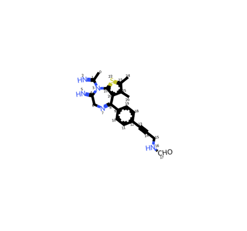 CC(=N)N1C(=N)CN=C(c2ccc(C#CCNC=O)cc2)c2c1sc(C)c2C